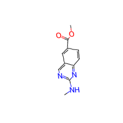 CNc1ncc2cc(C(=O)OC)ccc2n1